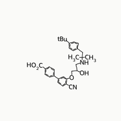 CC(C)(Cc1ccc(C(C)(C)C)cc1)NC[C@@H](O)COc1cc(-c2ccc(C(=O)O)cc2)ccc1C#N